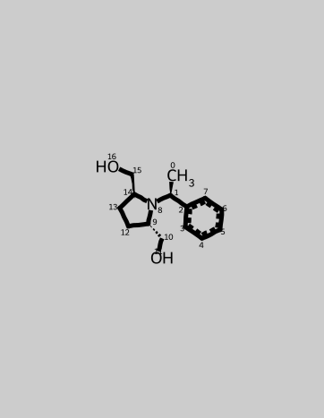 C[C@@H](c1ccccc1)N1[C@H](CO)CC[C@H]1CO